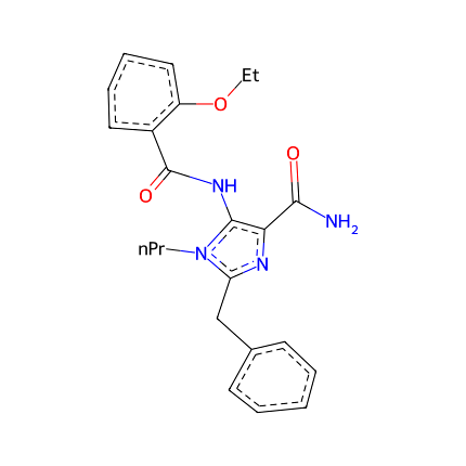 CCCn1c(Cc2ccccc2)nc(C(N)=O)c1NC(=O)c1ccccc1OCC